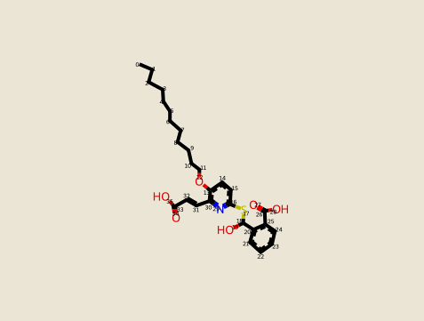 CCCCCCCCCCCCOc1ccc(SC(O)c2ccccc2C(=O)O)nc1C=CC(=O)O